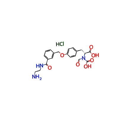 Cl.NCCNC(=O)c1cccc(COc2ccc(C[C@H](C(=O)O)N(C=O)C(=O)O)cc2)c1